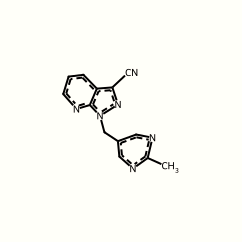 Cc1ncc(Cn2nc(C#N)c3cccnc32)cn1